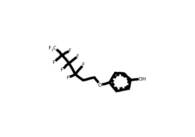 Oc1ccc(OCCC(F)(F)C(F)(F)C(F)(F)C(F)(F)F)cc1